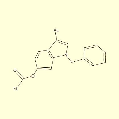 CCC(=O)Oc1ccc2c(C(C)=O)cn(Cc3ccccc3)c2c1